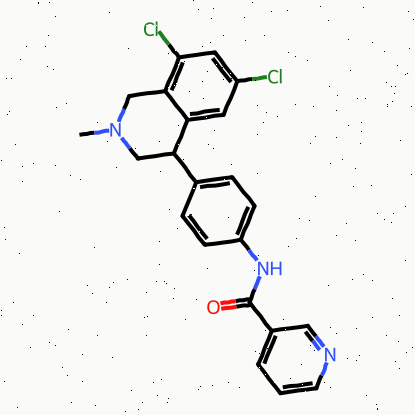 CN1Cc2c(Cl)cc(Cl)cc2C(c2ccc(NC(=O)c3cccnc3)cc2)C1